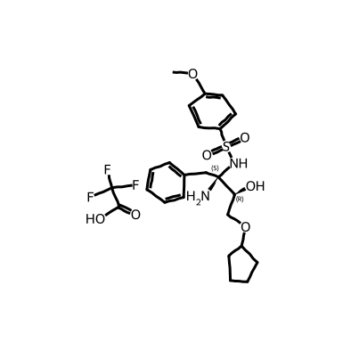 COc1ccc(S(=O)(=O)N[C@@](N)(Cc2ccccc2)[C@@H](O)COC2CCCC2)cc1.O=C(O)C(F)(F)F